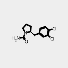 NC(=O)N1CCC[C@H]1[CH]c1ccc(Cl)c(Cl)c1